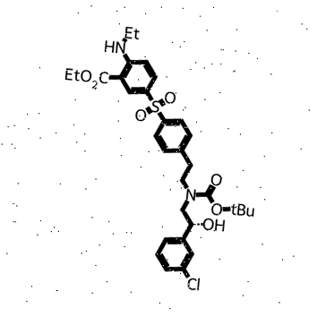 CCNc1ccc(S(=O)(=O)c2ccc(CCN(C[C@H](O)c3cccc(Cl)c3)C(=O)OC(C)(C)C)cc2)cc1C(=O)OCC